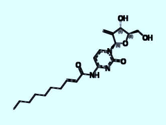 C=C1[C@H](n2ccc(NC(=O)C=CCCCCCCC)nc2=O)O[C@H](CO)[C@H]1O